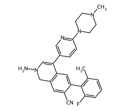 Cc1cccc(F)c1-c1cc2c(cc1C#N)CN(N)C=C2c1ccc(N2CCN(C)CC2)nc1